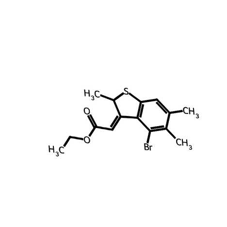 CCOC(=O)C=C1c2c(cc(C)c(C)c2Br)SC1C